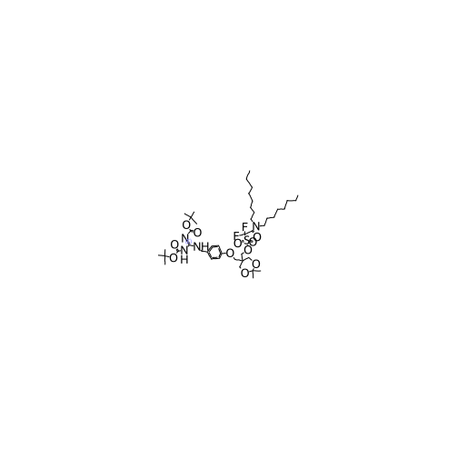 CCCCCCCCN(CCCCCCCC)C(=O)C(F)(F)S(=O)(=O)OCC1(COc2ccc(CN/C(=N\C(=O)OC(C)(C)C)NC(=O)OC(C)(C)C)cc2)COC(C)(C)OC1